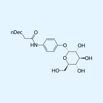 CCCCCCCCCCCC(=O)Nc1ccc(O[C@H]2O[C@H](CO)[C@@H](O)[C@H](O)[C@H]2O)cc1